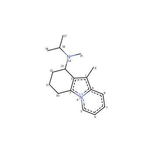 Cc1c2c(n3ccccc13)CCCC2N(C)C(C)C